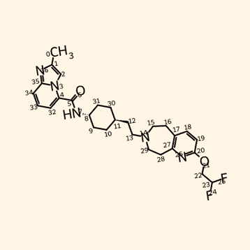 Cc1cn2c(C(=O)N[C@H]3CC[C@H](CCN4CCc5ccc(OCC(F)F)nc5CC4)CC3)cccc2n1